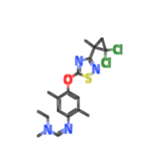 CCN(C)/C=N\c1cc(C)c(Oc2nc(C3(C)CC3(Cl)Cl)ns2)cc1C